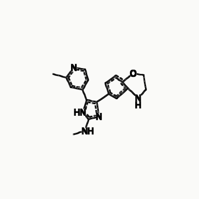 CNc1nc(-c2ccc3c(c2)NCCO3)c(-c2ccnc(C)c2)[nH]1